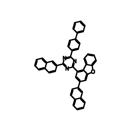 c1ccc(-c2ccc(-c3nc(-c4ccc5ccccc5c4)nc(-c4cc(-c5ccc6ccccc6c5)cc5oc6ccccc6c45)n3)cc2)cc1